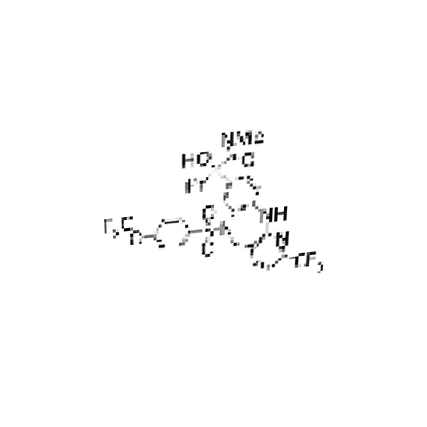 CNC(=O)C(O)(c1ccc2c(c1)N(S(=O)(=O)c1ccc(OC(F)(F)F)cc1)Cc1ccc(C(F)(F)F)nc1N2)C(C)C